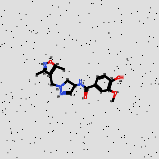 COc1cc(C(=O)NC2C=NN(Cc3c(C)noc3C)C2)ccc1O